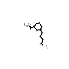 C=CC1CC[CH]C(CCCCC)C1